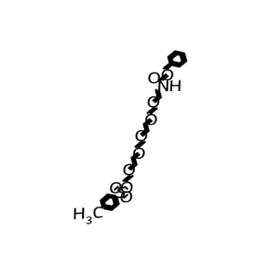 Cc1ccc(S(=O)(=O)OCCOCCOCCOCCOCCOCCNC(=O)OCc2ccccc2)cc1